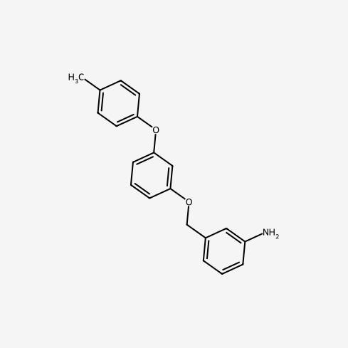 Cc1ccc(Oc2cccc(OCc3cccc(N)c3)c2)cc1